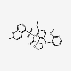 CCc1ccc(Oc2cccnc2OC)c([C@@]2(C(=O)NS(=O)(=O)c3cccc4nc(C)ccc34)CCCO2)c1